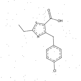 CCc1nc(Cc2ccc(Cl)cc2)c(C(=O)O)s1